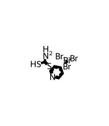 NC(=S)S.[Br][Bi]([Br])[Br].c1ccncc1